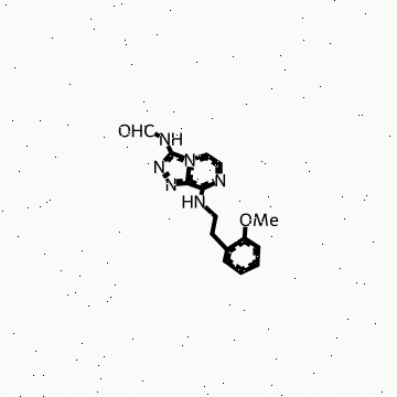 COc1ccccc1CCNc1nccn2c(NC=O)nnc12